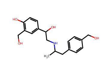 CC(Cc1ccc(CO)cc1)NCC(O)c1ccc(O)c(CO)c1